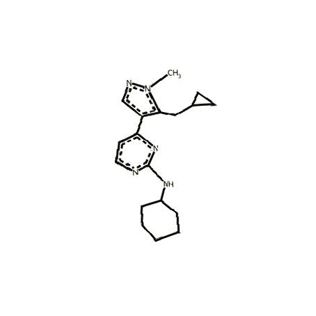 Cn1ncc(-c2ccnc(NC3CCCCC3)n2)c1CC1CC1